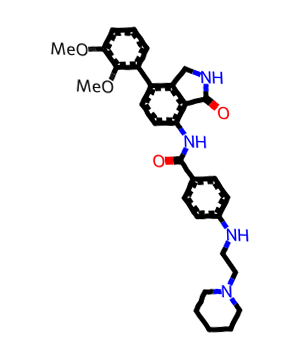 COc1cccc(-c2ccc(NC(=O)c3ccc(NCCN4CCCCC4)cc3)c3c2CNC3=O)c1OC